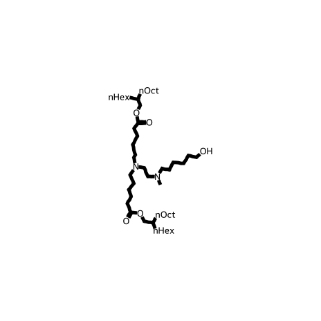 CCCCCCCCC(CCCCCC)COC(=O)CCCCCN(CCCCCC(=O)OCC(CCCCCC)CCCCCCCC)CCN(C)CCCCCCO